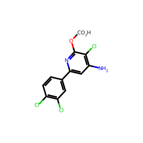 Nc1cc(-c2ccc(Cl)c(Cl)c2)nc(OC(=O)O)c1Cl